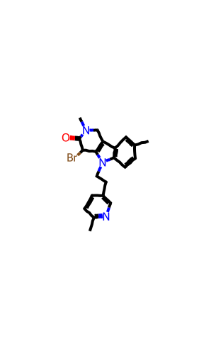 Cc1ccc2c(c1)c1c(n2CCc2ccc(C)nc2)C(Br)C(=O)N(C)C1